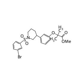 COC(=O)C(C)(C)Oc1cccc(C2CCCN(S(=O)(=O)c3cccc(Br)c3)C2)c1